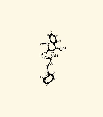 COC(=O)[C@@H](NC(=O)OCc1ccccc1)[C@H](O)c1ccccc1